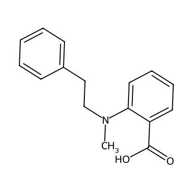 CN(CCc1ccccc1)c1ccccc1C(=O)O